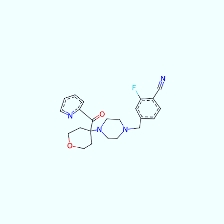 N#Cc1ccc(CN2CCN(C3(C(=O)c4ccccn4)CCOCC3)CC2)cc1F